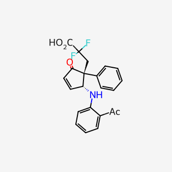 CC(=O)c1ccccc1N[C@@H]1C=CC(=O)[C@]1(CC(F)(F)C(=O)O)c1ccccc1